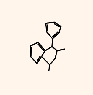 CC1CC(C)C(c2ccccc2)c2ccccc21